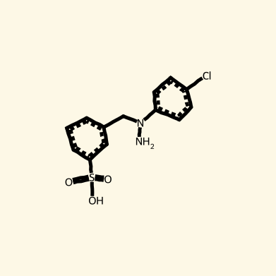 NN(Cc1cccc(S(=O)(=O)O)c1)c1ccc(Cl)cc1